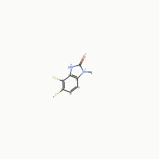 Cn1c(=O)[nH]c2c(F)c(F)ccc21